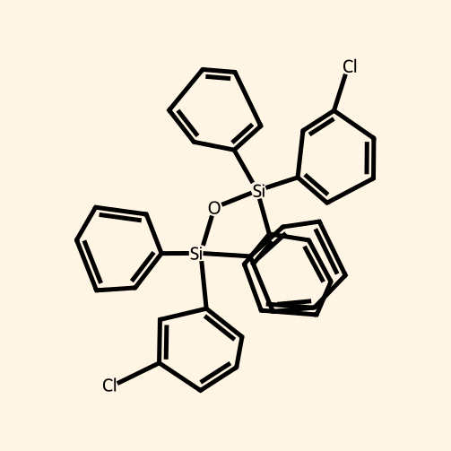 Clc1cccc([Si](O[Si](c2ccccc2)(c2ccccc2)c2cccc(Cl)c2)(c2ccccc2)c2ccccc2)c1